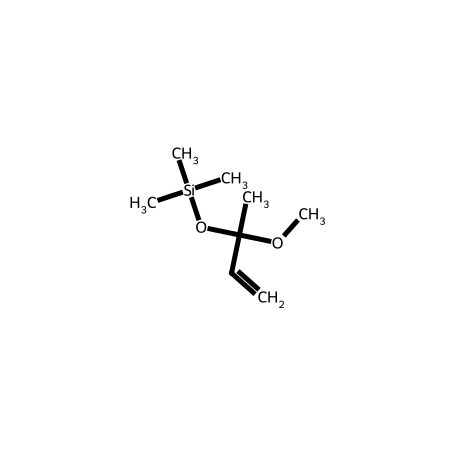 C=CC(C)(OC)O[Si](C)(C)C